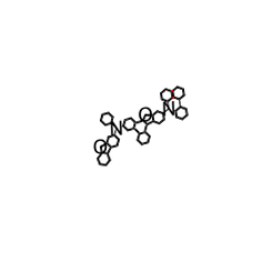 c1ccc(-c2ccccc2N(c2ccccc2)c2ccc3c(c2)oc2c4ccc(N(c5ccccc5)c5ccc6c(c5)oc5ccccc56)cc4c4ccccc4c32)cc1